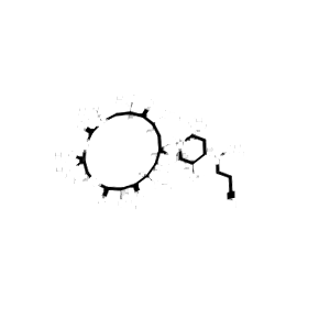 C#CCCN(C)[C@H]1C[C@@H](C)O[C@@H](O[C@@H]2[C@@H](C)C(=O)[C@@H](C)C(=O)O[C@H](I)C(C)(C)OC(=O)N(N)C[C@@H](C)C(=O)[C@H](C)C[C@@]2(C)OC)[C@@H]1O